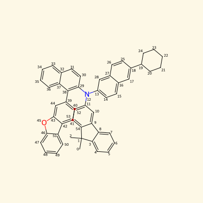 CC1(C)c2ccccc2-c2cc(N(c3ccc4cc(C5CCCCC5)ccc4c3)c3ccc4ccccc4c3-c3ccc4c(c3)oc3ccccc34)ccc21